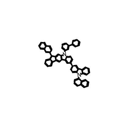 c1ccc(-c2cccc(-n3c4ccc(-c5ccc6c(c5)c5ccccc5n6-c5cccc6ccccc56)cc4c4cc5c(cc43)C(c3ccc4ccccc4c3)c3ccccc3-5)c2)cc1